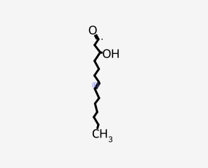 CCCCCC/C=C/CCCC(O)C[C]=O